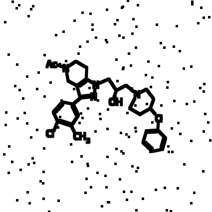 CC(=O)N1CCc2c(c(-c3ccc(Cl)c(C)c3)nn2CC(O)CN2CCC(Oc3ccccc3)CC2)C1